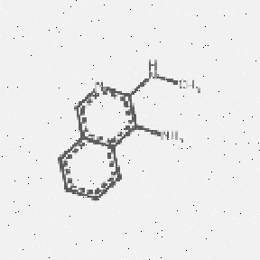 CNc1ncc2ccccc2c1N